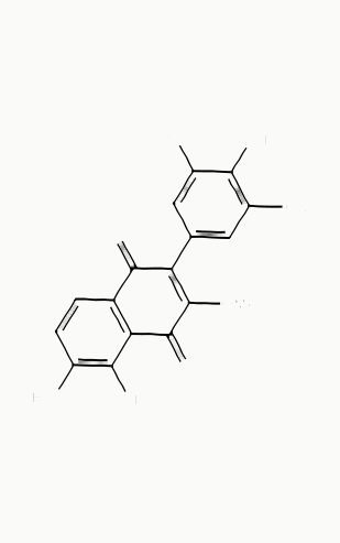 COC1=C(c2cc(C(C)(C)C)c(O)c(C(C)(C)C)c2)C(=O)c2ccc(C)c(C)c2C1=O